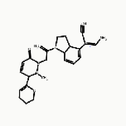 C#C/C(=C\N)C1=CC=CC2C1CCN2C(=C)CN1C(=O)C=CC(C2=CCCCO2)N1C